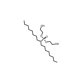 CCCCCCCCN(CCCCCCCC)P(=O)(OCCO)OCCO